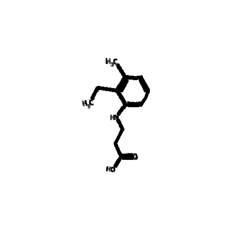 CCc1c(C)cccc1NCCC(=O)O